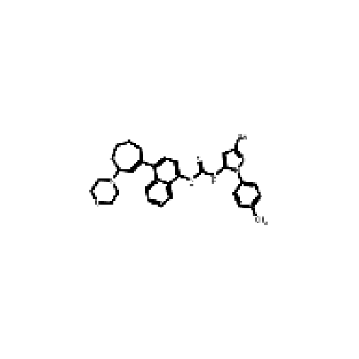 Cc1ccc(-n2nc(C(C)(C)C)cc2NC(=O)Nc2ccc(C3=CC(N4CCOCC4)CCCC3)c3ccccc23)cc1